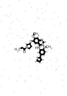 C=CC(=O)N1CCC(Oc2cc3c(Nc4cc(-c5cccs5)ccc4OC)ncnc3cc2OC)C1